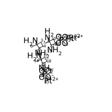 C[C@@]1(N)CC[C@@H]1N.C[C@@]1(N)CC[C@@H]1N.C[C@@]1(N)CC[C@@H]1N.O=P([O-])([O-])[O-].O=P([O-])([O-])[O-].[Pt+2].[Pt+2].[Pt+2]